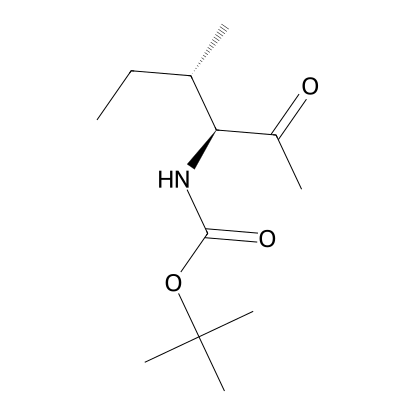 CC[C@H](C)[C@H](NC(=O)OC(C)(C)C)C(C)=O